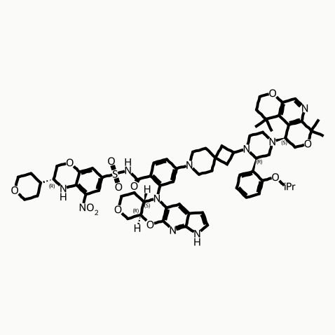 CC(C)Oc1ccccc1[C@@H]1CN([C@@H]2COC(C)(C)c3ncc4c(c32)C(C)(C)CCO4)CCN1C1CC2(CCN(c3ccc(C(=O)NS(=O)(=O)c4cc5c(c([N+](=O)[O-])c4)N[C@H](C4CCOCC4)CO5)c(N4c5cc6cc[nH]c6nc5O[C@H]5COCC[C@@H]54)c3)CC2)C1